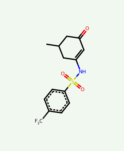 CC1CC(=O)C=C(NS(=O)(=O)c2ccc(C(F)(F)F)cc2)C1